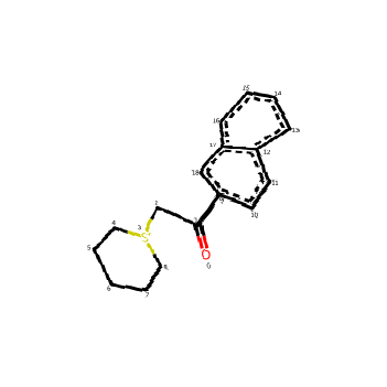 O=C(C[S+]1CCCCC1)c1ccc2ccccc2c1